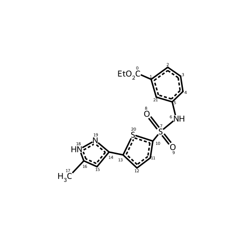 CCOC(=O)c1cccc(NS(=O)(=O)c2ccc(-c3cc(C)[nH]n3)s2)c1